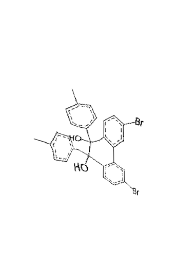 Cc1ccc(C2(O)c3ccc(Br)cc3-c3cc(Br)ccc3C2(O)c2ccc(C)cc2)cc1